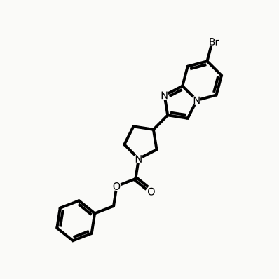 O=C(OCc1ccccc1)N1CCC(c2cn3ccc(Br)cc3n2)C1